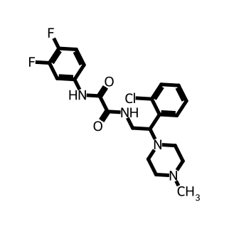 CN1CCN(C(CNC(=O)C(=O)Nc2ccc(F)c(F)c2)c2ccccc2Cl)CC1